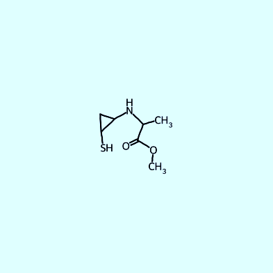 COC(=O)C(C)NC1CC1S